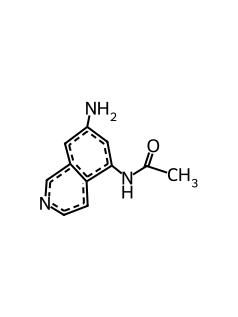 CC(=O)Nc1cc(N)cc2cnccc12